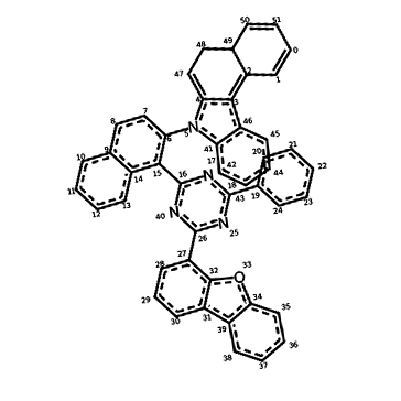 C1=CC2=c3c(n(-c4ccc5ccccc5c4-c4nc(-c5ccccc5)nc(-c5cccc6c5oc5ccccc56)n4)c4ccccc34)=CCC2C=C1